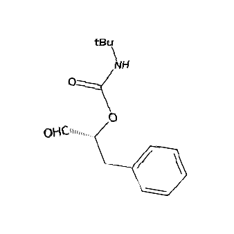 CC(C)(C)NC(=O)O[C@@H](C=O)Cc1ccccc1